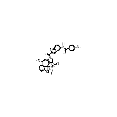 CCCC1(C)C2=C(C=C(O)c3cccc(C)c31)N(C(=O)c1cn3cc(NC(=O)c4ccc(O)cc4)ccc3n1)C[C@H]2CCl